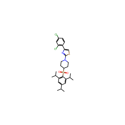 CC(C)c1cc(C(C)C)c(S(=O)(=O)C2CCN(c3nc(-c4ccc(Cl)cc4Cl)cs3)CC2)c(C(C)C)c1